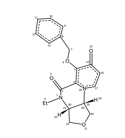 CCN1C(=O)c2c(OCc3ccccc3)c(=O)ccn2[C@@H]2COC[C@@H]21